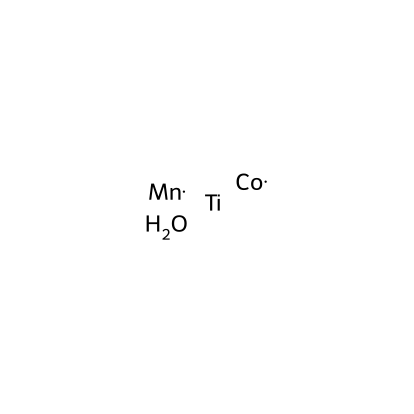 O.[Co].[Mn].[Ti]